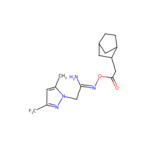 Cc1cc(C(F)(F)F)nn1C/C(N)=N/OC(=O)CC1CC2CCC1C2